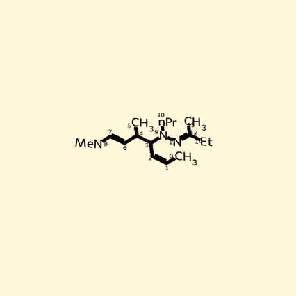 C/C=C\C(C(C)/C=C/NC)N(CCC)/N=C(\C)CC